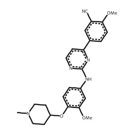 COc1ccc(-c2ccnc(Nc3ccc(OC4CCN(C)CC4)c(OC)c3)n2)cc1C#N